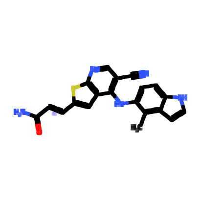 Cc1c(Nc2c(C#N)cnc3sc(/C=C/C(N)=O)cc23)ccc2[nH]ccc12